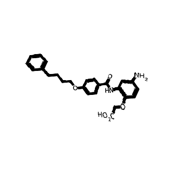 Nc1ccc(OCC(=O)O)c(NC(=O)c2ccc(OCCCCc3ccccc3)cc2)c1